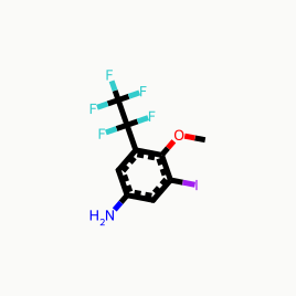 COc1c(I)cc(N)cc1C(F)(F)C(F)(F)F